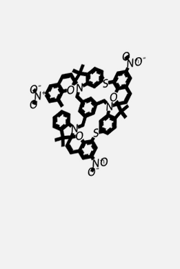 CSc1cc([N+](=O)[O-])cc2c1OC1(C=C2)N(Cc2cc(CN3c4ccccc4C(C)(C)C34C=Cc3cc([N+](=O)[O-])cc(C)c3O4)cc(CN3c4ccccc4C(C)(C)C34C=Cc3cc([N+](=O)[O-])cc(SC)c3O4)c2)c2ccccc2C1(C)C